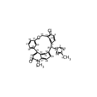 Cc1ncn([C@@H]2c3ccc(Cl)c(c3)COc3cccc(c3)-c3cc(=O)n(C)c4ccc2cc34)n1